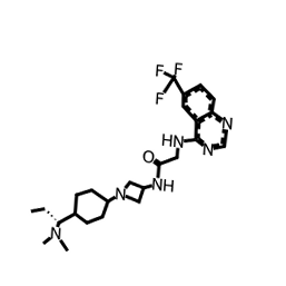 CC[C@H](C1CCC(N2CC(NC(=O)CNc3ncnc4ccc(C(F)(F)F)cc34)C2)CC1)N(C)C